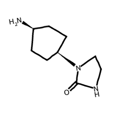 N[C@H]1CC[C@@H](N2CCNC2=O)CC1